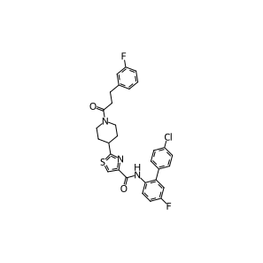 O=C(Nc1ccc(F)cc1-c1ccc(Cl)cc1)c1csc(C2CCN(C(=O)CCc3cccc(F)c3)CC2)n1